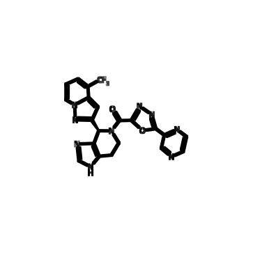 O=C(c1nnc(-c2cnccn2)o1)N1CCc2[nH]cnc2[C@H]1c1cc2c(C(F)(F)F)cccn2n1